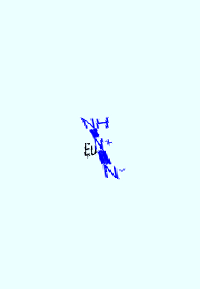 [Eu].[N-]=[N+]=N